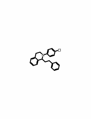 Clc1ccc(N2CCc3ccccc3C2CCc2ccccc2)cc1